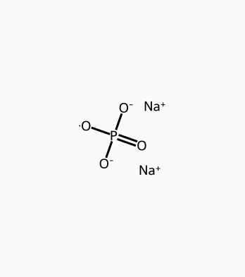 [Na+].[Na+].[O]P(=O)([O-])[O-]